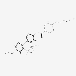 CCCCCC1CCC(C(=O)Oc2ccc3c(c2F)C(F)(F)C(F)(F)c2c-3ccc(CCC)c2F)CC1